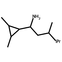 CC(C)C(C)CC(N)C1C(C)C1C